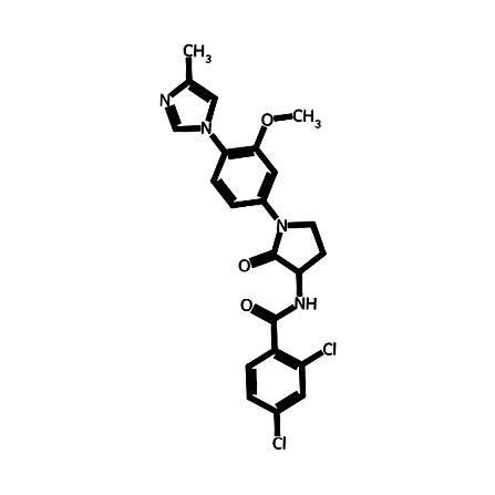 COc1cc(N2CCC(NC(=O)c3ccc(Cl)cc3Cl)C2=O)ccc1-n1cnc(C)c1